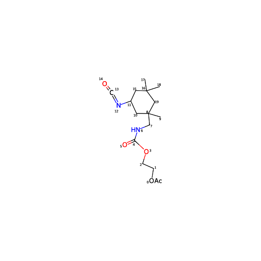 CC(=O)OCCOC(=O)NCC1(C)CC(N=C=O)CC(C)(C)C1